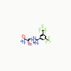 CN(C)C(=O)/C(Br)=C/n1cnc(-c2cc(C(F)(F)F)cc(C(F)(F)F)c2)n1